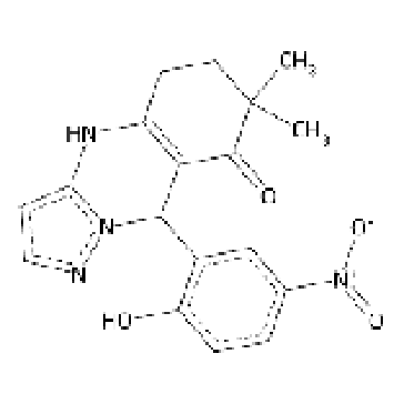 CC1(C)CCC2=C(C1=O)C(c1cc([N+](=O)[O-])ccc1O)n1nccc1N2